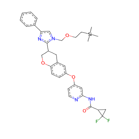 C[Si](C)(C)CCOCn1cc(-c2ccccc2)nc1C1COc2ccc(Oc3ccnc(NC(=O)C4CC4(F)F)c3)cc2C1